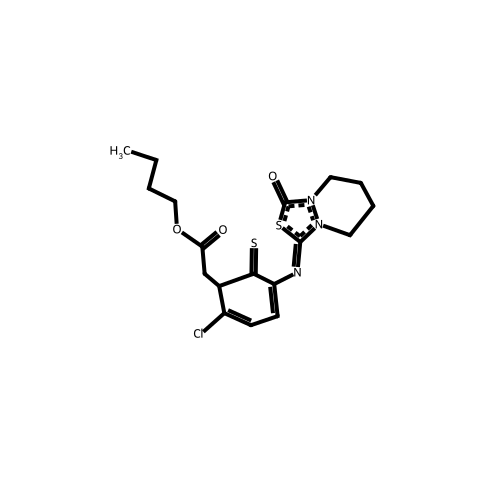 CCCCOC(=O)CC1C(=S)C(N=c2sc(=O)n3n2CCCC3)=CC=C1Cl